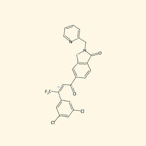 O=C(/C=C(\c1cc(Cl)cc(Cl)c1)C(F)(F)F)c1ccc2c(c1)CN(Cc1ccccn1)C2=O